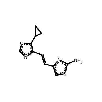 Nc1nc(C=Cc2ncoc2C2CC2)cs1